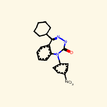 O=C1[N]N=C(C2CCCCC2)c2ccccc2N1c1ccc([N+](=O)[O-])cc1